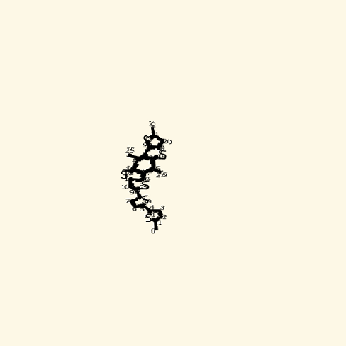 Cc1ccc(-c2ccc(-c3cc4sc5c(C)c6c(sc7cc(C)sc76)c(C)c5c4s3)s2)s1